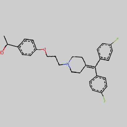 CC(O)c1ccc(OCCCN2CCC(=C(c3ccc(F)cc3)c3ccc(F)cc3)CC2)cc1